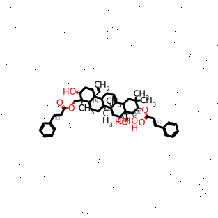 C=C[C@]12CC[C@H](O)[C@](C)(COC(=O)/C=C/c3ccccc3)C1CC[C@]1(C)C2CC=C2C3CC(C)(C)[C@@H](OC(=O)/C=C/c4ccccc4)[C@H](O)[C@]3(CO)[C@H](O)C[C@]21C